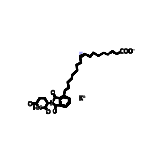 O=C([O-])CCCCCCC/C=C\CCCCCCCCc1cccc2c1C(=O)N(C1CCC(=O)NC1=O)C2=O.[K+]